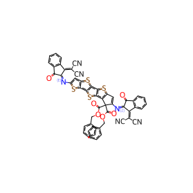 N#CC(C#N)=C1/C(=N/C2=Cc3sc4c(sc5c6sc(/N=C7/C(=O)c8ccccc8C7=C(C#N)C#N)cc6sc45)c3C2(C(=O)OCc2ccccc2)C(=O)OCc2ccccc2)C(=O)c2ccccc21